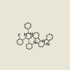 Fc1ccccc1-c1nc(-c2ccccc2)ncc1-c1ccccc1-n1c2ccccc2c2c1ccc1nc3ccccc3n12